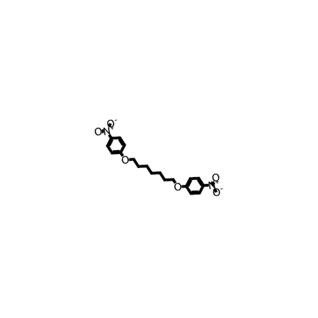 O=[N+]([O-])c1ccc(OCCCCCCCOc2ccc([N+](=O)[O-])cc2)cc1